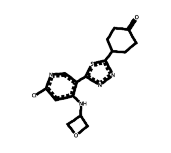 O=C1CCC(c2nnc(-c3cnc(Cl)cc3NC3COC3)s2)CC1